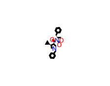 O=C1OC[C@@H](Cc2ccccc2)N1C(=O)[C@H]1CN(Cc2ccccc2)C[C@H]1C1CC1